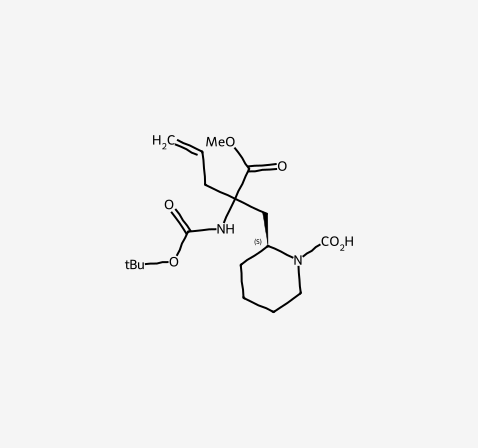 C=CCC(C[C@@H]1CCCCN1C(=O)O)(NC(=O)OC(C)(C)C)C(=O)OC